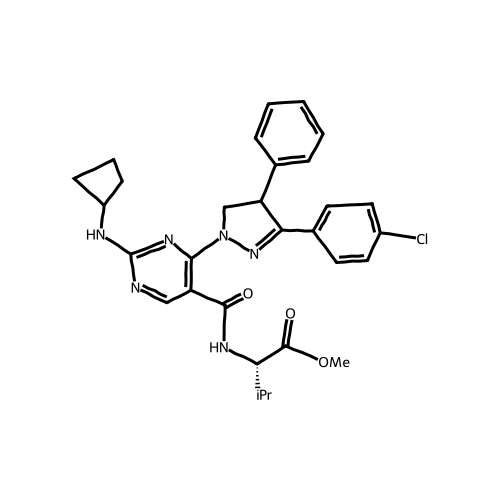 COC(=O)[C@@H](NC(=O)c1cnc(NC2CCC2)nc1N1CC(c2ccccc2)C(c2ccc(Cl)cc2)=N1)C(C)C